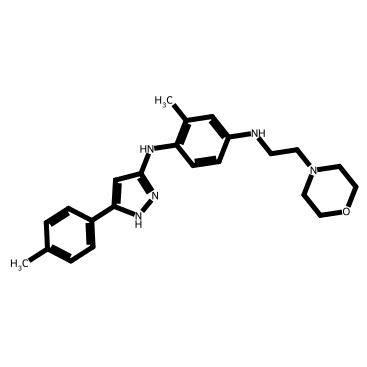 Cc1ccc(-c2cc(Nc3ccc(NCCN4CCOCC4)cc3C)n[nH]2)cc1